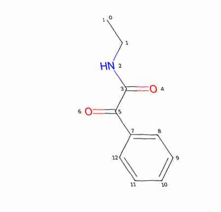 [CH]CNC(=O)C(=O)c1ccccc1